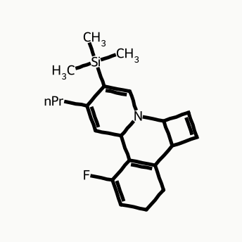 CCCC1=CC2C3=C(CCC=C3F)C3C=CC3N2C=C1[Si](C)(C)C